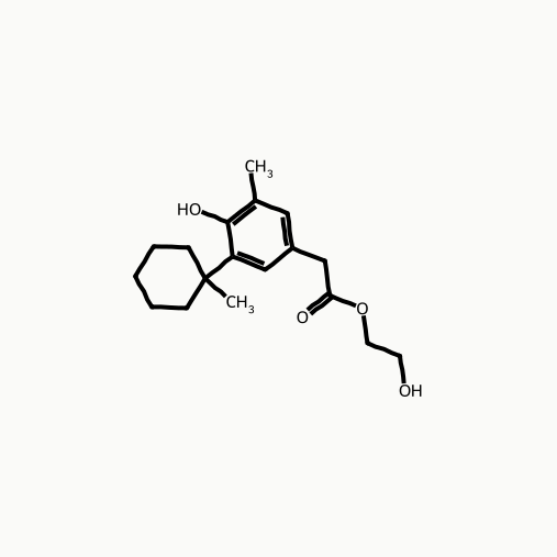 Cc1cc(CC(=O)OCCO)cc(C2(C)CCCCC2)c1O